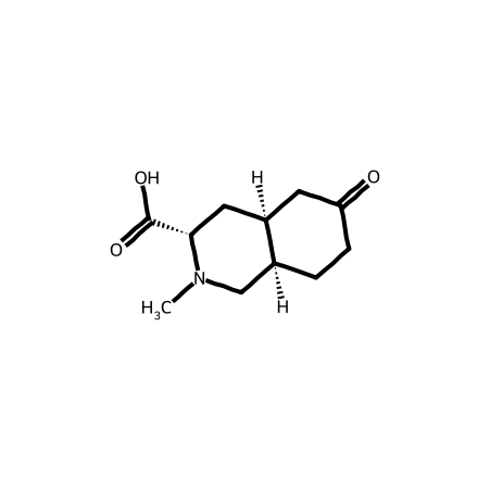 CN1C[C@@H]2CCC(=O)C[C@@H]2C[C@H]1C(=O)O